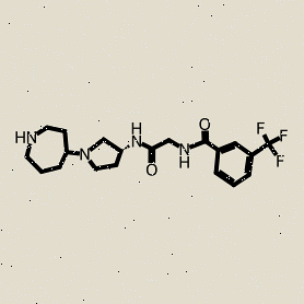 O=C(CNC(=O)c1cccc(C(F)(F)F)c1)N[C@@H]1CCN(C2CCCNCC2)C1